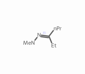 CCC/C(CC)=N/NC